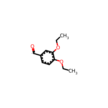 CCOc1ccc([C]=O)cc1OCC